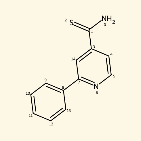 NC(=S)c1ccnc(-c2ccccc2)c1